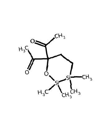 CC(=O)C1(C(C)=O)CC[Si](C)(C)[Si](C)(C)O1